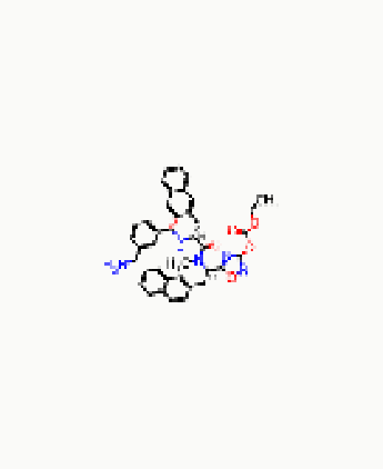 CCOC(=O)Oc1noc([C@@H](Cc2ccc3ccccc3c2)N(C)C(=O)[C@@H](Cc2ccc3ccccc3c2)NC(=O)c2cccc(CN)c2)n1